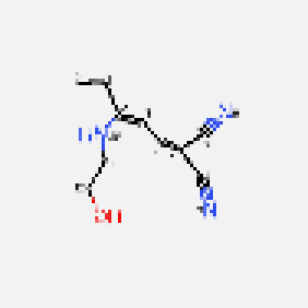 CCC(=CC=C(C#N)C#N)NCCO